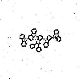 c1ccc(-c2nc3c(-n4c5ccccc5c5cc(-n6c7ccccc7c7ccccc76)ccc54)ccc(-n4c5ccccc5c5cc(-n6c7ccccc7c7ccccc76)ccc54)c3nc2-c2ccccc2)cc1